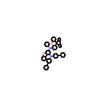 c1ccc(-c2ccc(N(c3ccc(-c4ccccc4)cc3)c3cc(N(c4ccccc4)c4cccc5c4Oc4ccccc4C54c5ccccc5-c5ccccc54)cc4oc5ccccc5c34)cc2)cc1